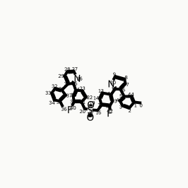 Cc1cccc(-c2cccnc2-c2ccc(CS(=O)(=O)Cc3ccc(-c4ncccc4-c4cccc(C)c4)cc3F)c(F)c2)c1